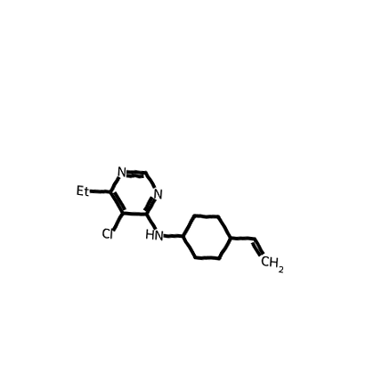 C=CC1CCC(Nc2ncnc(CC)c2Cl)CC1